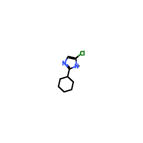 ClC1=CN=C(C2CCCCC2)[N]1